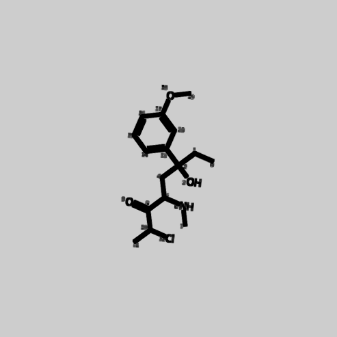 CCC(O)(CC(NC)C(=O)C(C)Cl)c1cccc(OC)c1